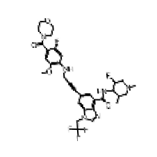 COc1cc(C(=O)N2CCOCC2)c(F)cc1NCC#Cc1cc(C(=O)NC2C(C)CN(C)CC2F)c2ncn(CC(F)(F)F)c2c1